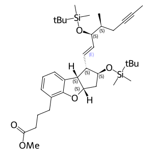 CC#CC[C@H](C)[C@@H](/C=C/[C@H]1[C@H]2c3cccc(CCCC(=O)OC)c3O[C@H]2C[C@@H]1O[Si](C)(C)C(C)(C)C)O[Si](C)(C)C(C)(C)C